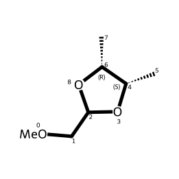 COCC1O[C@@H](C)[C@@H](C)O1